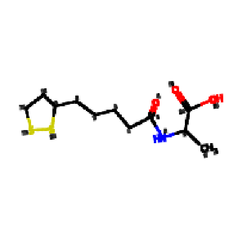 CC(NC(=O)CCCCC1CCSS1)C(=O)O